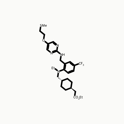 CCOC(=O)C[C@H]1CC[C@H](CN(CC)c2ccc(C(F)(F)F)cc2CNc2ncc(OCCSC)cn2)CC1